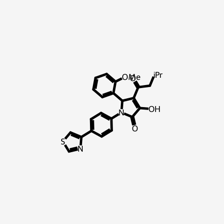 COc1ccccc1C1C(C(=O)CC(C)C)=C(O)C(=O)N1c1ccc(-c2cscn2)cc1